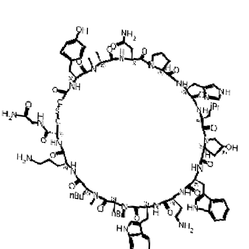 CCCC[C@H]1C(=O)N(C)[C@@H](CCCC)C(=O)N[C@@H](CCCN)C(=O)N[C@H](C(=O)NCC(N)=O)CSCC(=O)N[C@@H](Cc2ccc(O)cc2)C(=O)N(C)[C@@H](C)C(=O)N[C@@H](CC(N)=O)C(=O)N2CCC[C@H]2C(=O)N[C@@H](Cc2c[nH]cn2)C(=O)N[C@@H](CC(C)C)C(=O)N2C[C@H](O)C[C@H]2C(=O)N[C@@H](Cc2c[nH]c3ccccc23)C(=O)N[C@@H](CCN)C(=O)N[C@@H](Cc2c[nH]c3ccccc23)C(=O)N1C